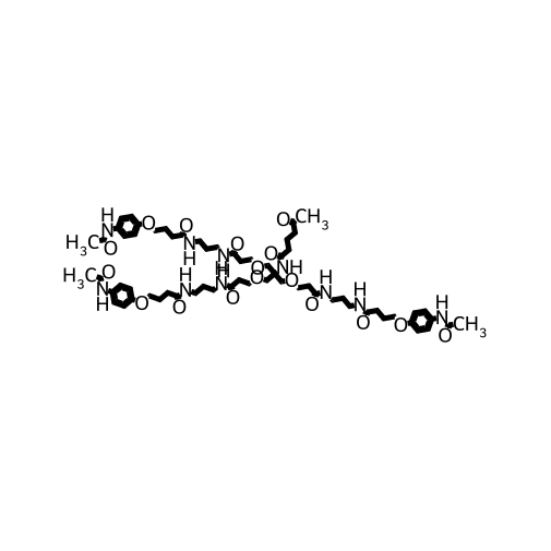 CC(=O)CCCC(=O)NC(COCCC(=O)NCCCNC(=O)CCCOc1ccc(NC(C)=O)cc1)(COCCC(=O)NCCCNC(=O)CCCOc1ccc(NC(C)=O)cc1)COCCC(=O)NCCCNC(=O)CCCOc1ccc(NC(C)=O)cc1